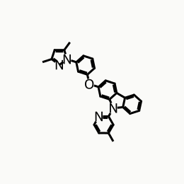 Cc1ccnc(-n2c3ccccc3c3ccc(Oc4cccc(-n5nc(C)cc5C)c4)cc32)c1